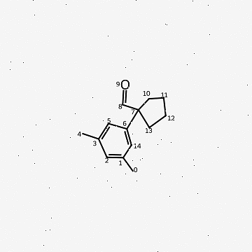 Cc1cc(C)cc(C2(C=O)CCCC2)c1